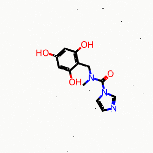 CN(Cc1c(O)cc(O)cc1O)C(=O)n1ccnc1